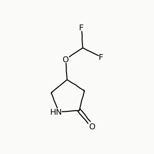 O=C1CC(OC(F)F)CN1